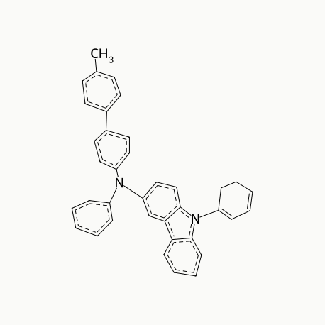 Cc1ccc(-c2ccc(N(c3ccccc3)c3ccc4c(c3)c3ccccc3n4C3=CC=CCC3)cc2)cc1